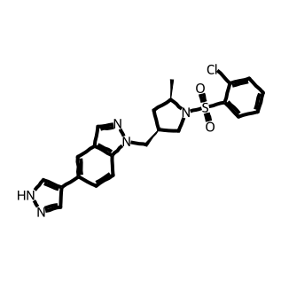 C[C@@H]1C[C@H](Cn2ncc3cc(-c4cn[nH]c4)ccc32)CN1S(=O)(=O)c1ccccc1Cl